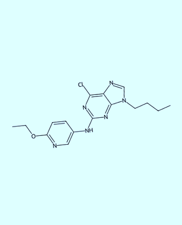 CCCCn1cnc2c(Cl)nc(Nc3ccc(OCC)nc3)nc21